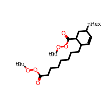 CCCCCCC1C=CC(CCCCCCCC(=O)OOC(C)(C)C)C(C(=O)OOC(C)(C)C)C1